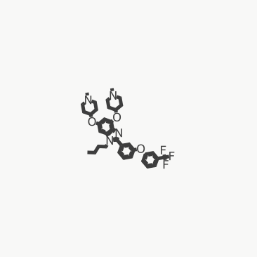 CCCCn1c(-c2cccc(Oc3cccc(C(F)(F)F)c3)c2)nc2c(OC3CCN(C)CC3)cc(OC3CCN(C)CC3)cc21